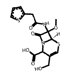 COC1(NC(=O)Cc2cccs2)C(=O)N2C(C(=O)O)C(CO)=CS[C@@H]21